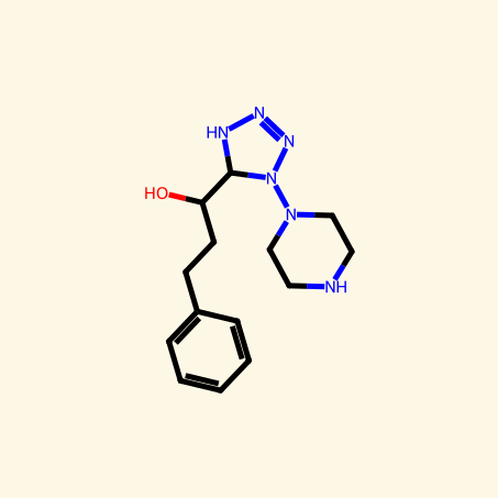 OC(CCc1ccccc1)C1NN=NN1N1CCNCC1